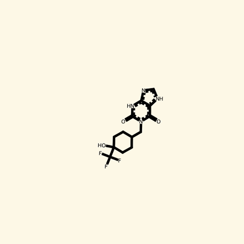 O=c1[nH]c2nc[nH]c2c(=O)n1CC1CCC(O)(C(F)(F)F)CC1